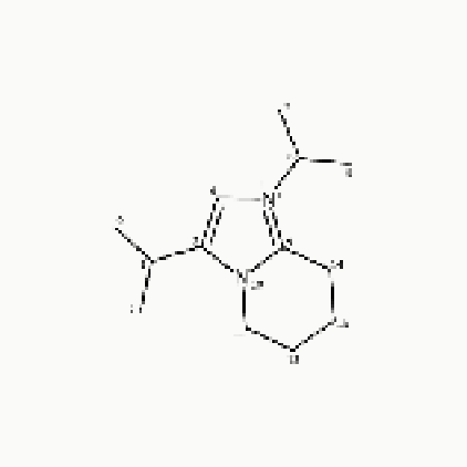 CC(C)c1c[n+](C(C)C)c2n1CCCC2